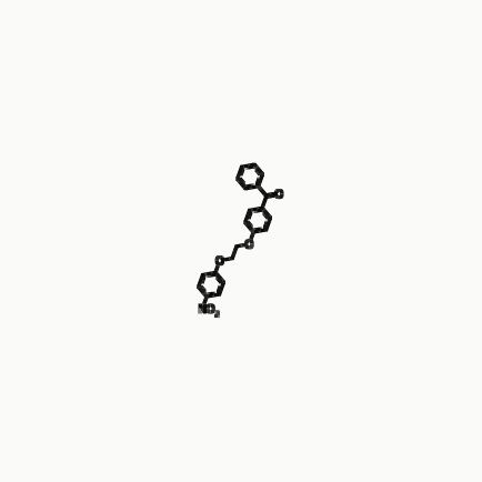 O=C(c1ccccc1)c1ccc(OCCOc2ccc([N+](=O)[O-])cc2)cc1